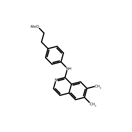 COCCc1ccc(Nc2nccc3cc(C)c(C)cc23)cc1